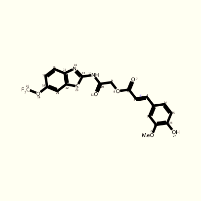 COc1cc(/C=C/C(=O)OCC(=O)Nc2nc3ccc(OC(F)(F)F)cc3s2)ccc1O